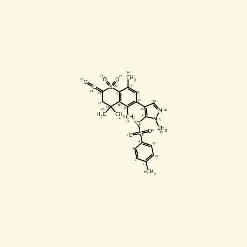 Cc1ccc(S(=O)(=O)Oc2c(-c3cc(C)c4c(c3C)C(C)(C)CC(=C=O)S4(=O)=O)cnn2C)cc1